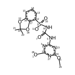 COc1nc(NC(=O)NS(=O)(=O)c2cccc3c2OC(C)(C)O3)nc(OC)n1